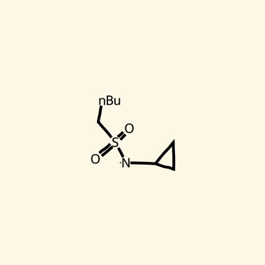 CCCCCS(=O)(=O)[N]C1CC1